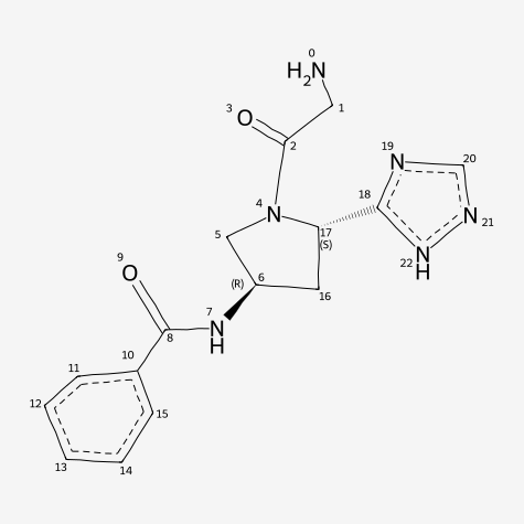 NCC(=O)N1C[C@H](NC(=O)c2ccccc2)C[C@H]1c1ncn[nH]1